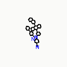 N#Cc1ccc2c(c1)nc(-c1ccc(-c3ccccc3)cc1)n2-c1cccc(-c2c3ccccc3c(-c3ccc4ccccc4c3)c3ccccc23)c1